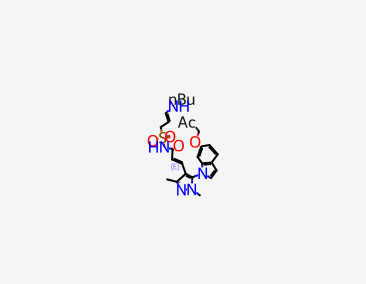 CCCCNC=CCS(=O)(=O)NC(=O)/C=C/c1c(C)nn(C)c1-n1ccc2ccc(OCC(C)=O)cc21